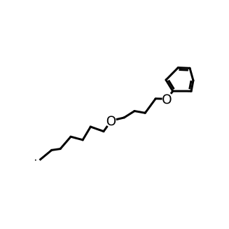 [CH2]CCCCCCOCCCCOc1ccccc1